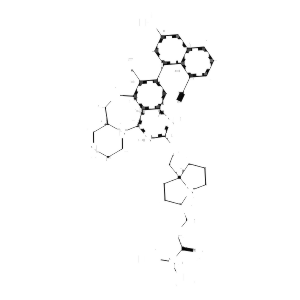 C#Cc1cccc2cc(O)cc(-c3cc4nc(OCC56CCCN5[C@@H](COC(=O)N(C)C)CC6)nc5c4c(c3Cl)OCC3CNCCN53)c12